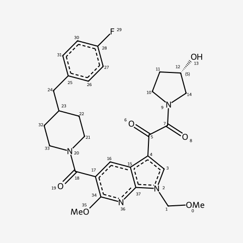 COCn1cc(C(=O)C(=O)N2CC[C@H](O)C2)c2cc(C(=O)N3CCC(Cc4ccc(F)cc4)CC3)c(OC)nc21